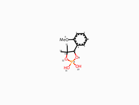 COc1ccccc1C1O[P](O)(O)OC1(C)C